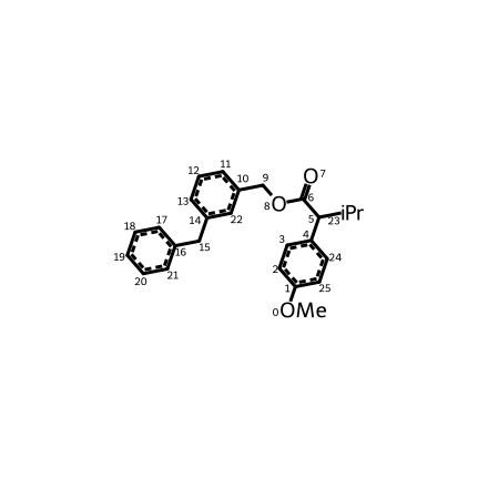 COc1ccc(C(C(=O)OCc2cccc(Cc3ccccc3)c2)C(C)C)cc1